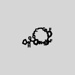 O=C(NC1CCCC1)c1ccc2cc1OCCCCCCOc1cc(ccc1F)-c1nc(ncc1F)N2